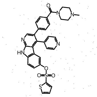 CN1CCN(C(=O)c2ccc(-c3cnc4[nH]c5ccc(OS(=O)(=O)c6cccs6)cc5c4c3-c3ccncc3)cc2)CC1